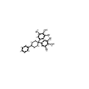 Oc1c(Br)cc(C2(c3cc(Br)c(O)c(Br)c3)CCC(c3ccccc3)CC2)cc1Br